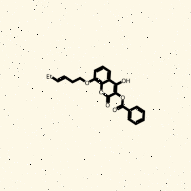 CCC=CCCOc1cccc2c(O)c(OC(=O)c3ccccc3)c(=O)oc12